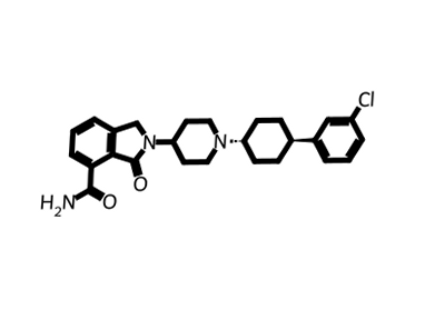 NC(=O)c1cccc2c1C(=O)N(C1CCN([C@H]3CC[C@H](c4cccc(Cl)c4)CC3)CC1)C2